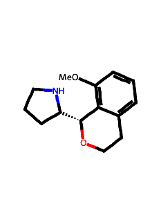 COc1cccc2c1[C@@H](C1CCCN1)OCC2